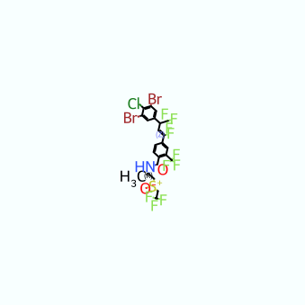 C[C@H](C[S+]([O-])CC(F)(F)F)NC(=O)c1ccc(/C(F)=C/C(c2cc(Br)c(Cl)c(Br)c2)C(F)(F)F)cc1C(F)(F)F